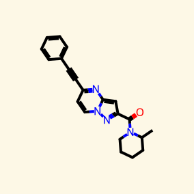 CC1CCCCN1C(=O)c1cc2nc(C#Cc3ccccc3)ccn2n1